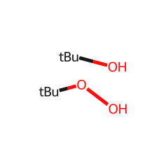 CC(C)(C)O.CC(C)(C)OO